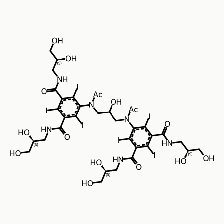 CC(=O)N(CC(O)CN(C(C)=O)c1c(I)c(C(=O)NC[C@H](O)CO)c(I)c(C(=O)NC[C@H](O)CO)c1I)c1c(I)c(C(=O)NC[C@H](O)CO)c(I)c(C(=O)NC[C@H](O)CO)c1I